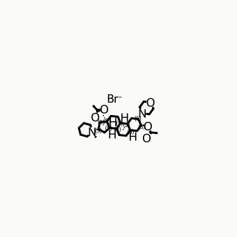 CC(=O)O[C@H]1C[C@@H]2CC[C@@H]3[C@H](CC[C@@]4(C)[C@H]3C[C@H]([N+]3(C)CCCCC3)[C@@H]4OC(C)=O)[C@@]2(C)C[C@@H]1N1CCOCC1.[Br-]